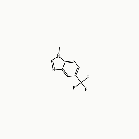 Cn1[c]nc2cc(C(F)(F)F)ccc21